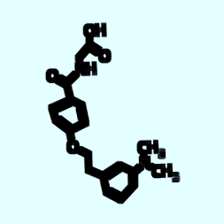 CN(C)c1cccc(CCOc2ccc(C(=O)NCC(=O)O)cc2)c1